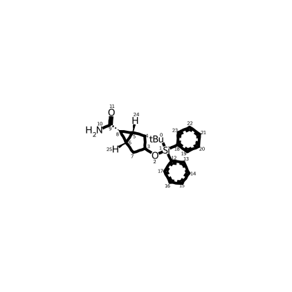 CC(C)(C)[Si](OC1C[C@@H]2[C@H](C1)[C@@H]2C(N)=O)(c1ccccc1)c1ccccc1